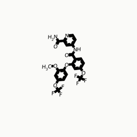 COc1cc(OC(F)(F)F)ccc1Oc1cc(OC(F)(F)F)ccc1C(=O)Nc1ccnc(C(N)=O)c1